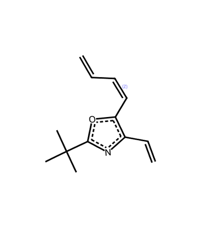 C=C/C=C\c1oc(C(C)(C)C)nc1C=C